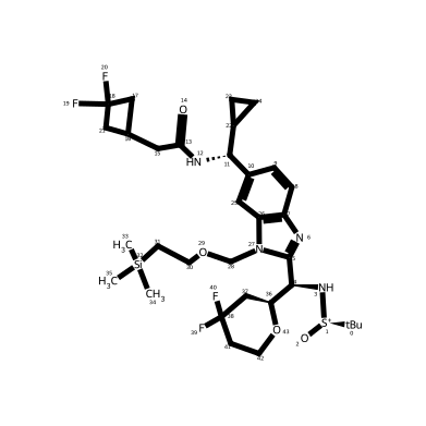 CC(C)(C)[S@@+]([O-])N[C@H](c1nc2ccc([C@H](NC(=O)CC3CC(F)(F)C3)C3CC3)cc2n1COCC[Si](C)(C)C)[C@@H]1CC(F)(F)CCO1